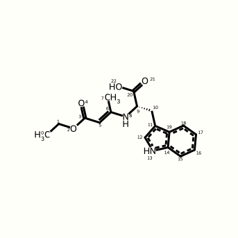 CCOC(=O)/C=C(\C)N[C@@H](Cc1c[nH]c2ccccc12)C(=O)O